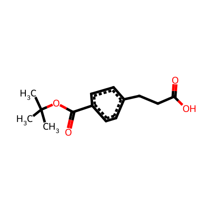 CC(C)(C)OC(=O)c1ccc(CCC(=O)O)cc1